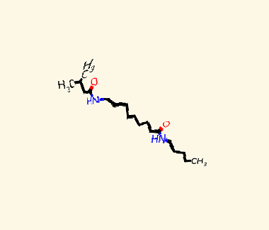 CCCCCNC(=O)CCCCCCCCNC(=O)CC(C)C